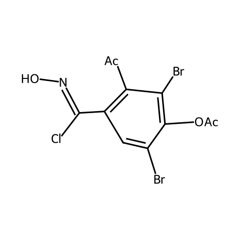 CC(=O)Oc1c(Br)cc(C(Cl)=NO)c(C(C)=O)c1Br